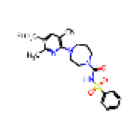 CCOC(=O)c1cc(C#N)c(N2CCCN(C(=O)NS(=O)(=O)c3ccccc3)CC2)nc1C